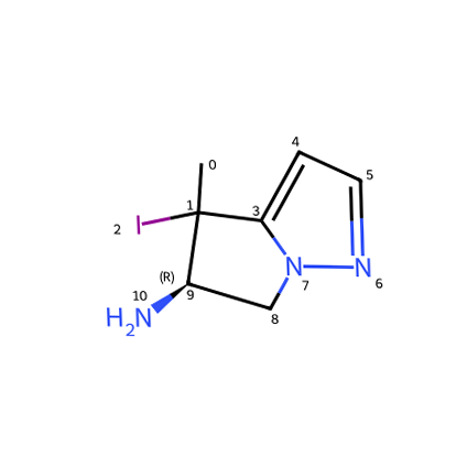 CC1(I)c2ccnn2C[C@H]1N